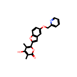 Cc1c(-c2cc3cc(OCc4ccccn4)ccc3o2)oc(=O)c(C)c1O